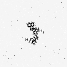 Cc1nc(N2CC[C@H](N3CCC[C@@H]3C)C2)ccc1NC(=O)c1cccc2ccccc12